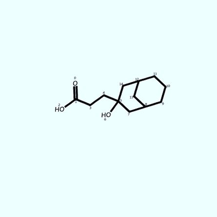 O=C(O)CCC1(O)CC2CCCC(C2)C1